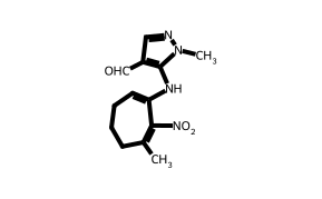 CC1=C([N+](=O)[O-])C(Nc2c(C=O)cnn2C)=CCCC1